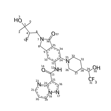 CC(C)(O)C(F)CN1Cc2cc(NC(=O)c3cnn4cccnc34)c(N3CCC(C(O)C(F)(F)F)CC3)cc2C1=O